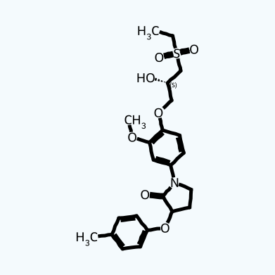 CCS(=O)(=O)C[C@@H](O)COc1ccc(N2CCC(Oc3ccc(C)cc3)C2=O)cc1OC